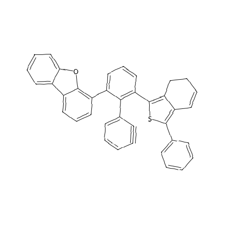 c1cccc(-c2c(-c3sc(-c4ccccc4)c4c3CCC=C4)cccc2-c2cccc3c2oc2ccccc23)c#1